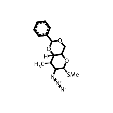 CS[C@@H]1OC2COC(c3ccccc3)O[C@H]2[C@H](C)C1N=[N+]=[N-]